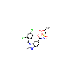 CCCC(O)CS(=O)(=O)NC(=O)c1ccc2nc(C)n(Cc3ccc(Cl)cc3Cl)c2c1